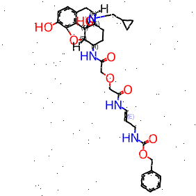 O=C(COCC(=O)N[C@@H]1CC[C@@]2(O)[C@H]3Cc4ccc(O)c5c4[C@@]2(CCN3CC2CC2)[C@H]1O5)N/C=C/CNC(=O)OCc1ccccc1